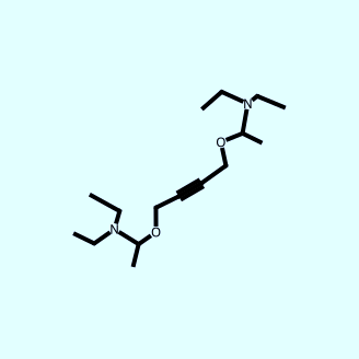 CCN(CC)C(C)OCC#CCOC(C)N(CC)CC